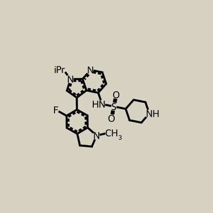 CC(C)n1cc(-c2cc3c(cc2F)CCN3C)c2c(NS(=O)(=O)C3CCNCC3)ccnc21